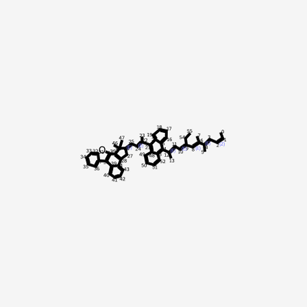 C\C=C/C=C(C)/C(C)=C/C(=C/C=C(\C)c1c2ccccc2c(/C(C)=C/C=C2\Cc3c(c4oc5ccccc5c4c4ccccc34)C2(C)C)c2ccccc12)CC